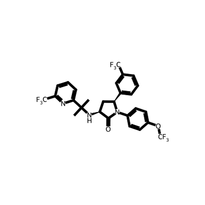 CC(C)(N[C@H]1C[C@@H](c2cccc(C(F)(F)F)c2)N(c2ccc(OC(F)(F)F)cc2)C1=O)c1cccc(C(F)(F)F)n1